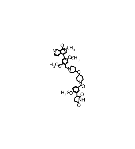 COc1cc(-c2cn(C)c(=O)c3cnccc23)c(OC)cc1CN1CCC(OC2CCN(C(=O)c3ccc(OC)c(C4CCC(=O)NC4=O)c3)CC2)CC1